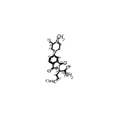 CN1CCN(c2ccc3c(c2)C(=O)N(C(CCC=O)C(N)=O)C3=O)CC1I